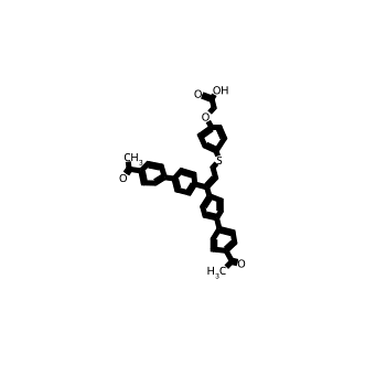 CC(=O)c1ccc(-c2ccc(C(=CCSc3ccc(OCC(=O)O)cc3)c3ccc(-c4ccc(C(C)=O)cc4)cc3)cc2)cc1